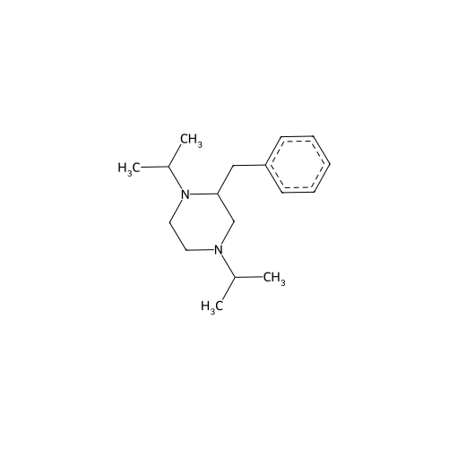 CC(C)N1CCN(C(C)C)C(Cc2ccccc2)C1